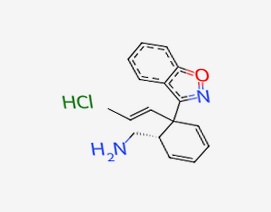 CC=CC1(c2noc3ccccc23)C=CC=C[C@@H]1CN.Cl